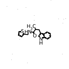 CC(Cc1c[nH]c2ccccc12)C(=O)NCc1cccs1